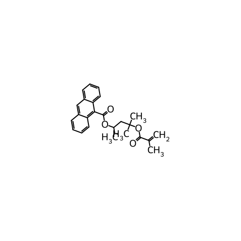 C=C(C)C(=O)OC(C)(C)CC(C)OC(=O)c1c2ccccc2cc2ccccc12